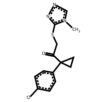 Cn1cnnc1SCC(=O)C1(c2ccc(Cl)cc2)CC1